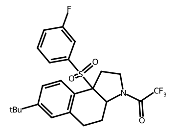 CC(C)(C)c1ccc2c(c1)CCC1N(C(=O)C(F)(F)F)CCC21S(=O)(=O)c1cccc(F)c1